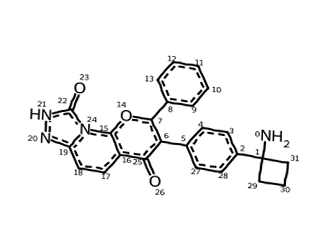 NC1(c2ccc(-c3c(-c4ccccc4)oc4c(ccc5n[nH]c(=O)n54)c3=O)cc2)CCC1